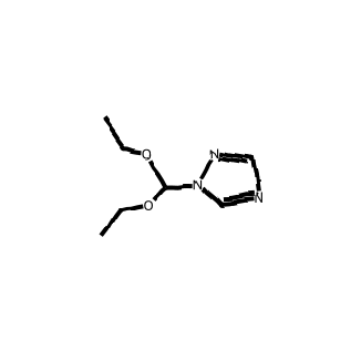 CCOC(OCC)n1cncn1